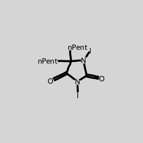 CCCCCC1(CCCCC)C(=O)N(I)C(=O)N1I